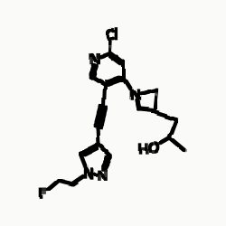 CC(O)CC1CN(c2cc(Cl)ncc2C#Cc2cnn(CCF)c2)C1